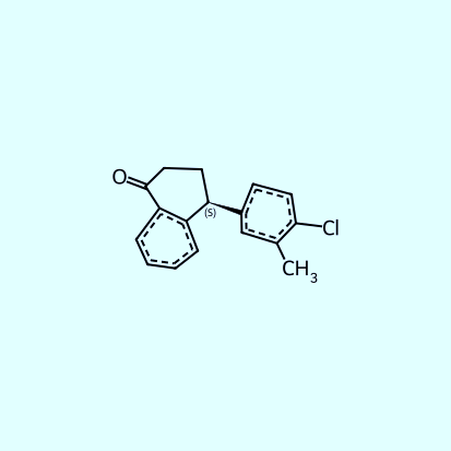 Cc1cc([C@@H]2CCC(=O)c3ccccc32)ccc1Cl